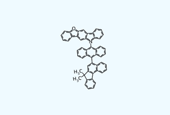 CC1(C)c2ccccc2-c2c1cc(-c1c3ccccc3c(-n3c4ccccc4c4cc5oc6ccccc6c5cc43)c3ccccc13)c1ccccc21